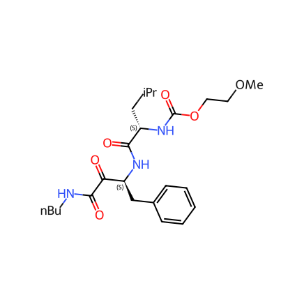 CCCCNC(=O)C(=O)[C@H](Cc1ccccc1)NC(=O)[C@H](CC(C)C)NC(=O)OCCOC